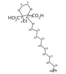 CCC1(C(=O)O)CCCCC1(CCCCCCCCCCCCC(C)C)C(=O)O